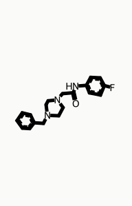 O=C(CN1CCN(Cc2ccccc2)CC1)Nc1ccc(F)cc1